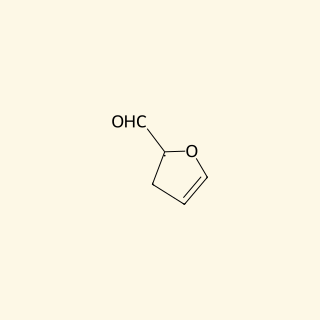 O=C[C]1CC=CO1